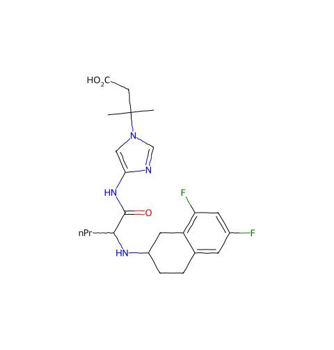 CCCC(NC1CCc2cc(F)cc(F)c2C1)C(=O)Nc1cn(C(C)(C)CC(=O)O)cn1